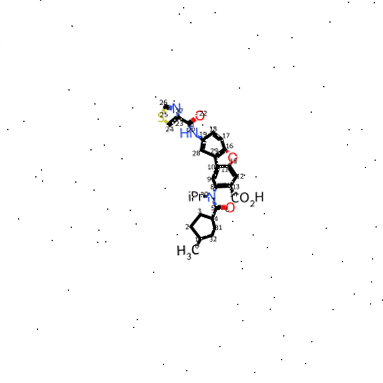 CC1CCC(C(=O)N(c2cc3c(cc2C(=O)O)oc2ccc(NC(=O)c4cscn4)cc23)C(C)C)CC1